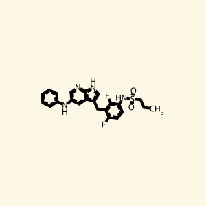 CCCS(=O)(=O)Nc1ccc(F)c(Cc2c[nH]c3ncc(Nc4ccccc4)cc23)c1F